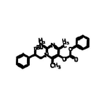 CCCCC(CN1C(C)=C(OC(=O)Oc2ccccc2)C(C)=NC1N)c1ccccc1